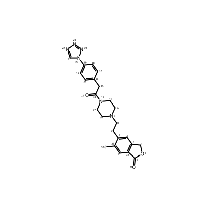 O=C1OCc2cc(CCN3CCN(C(=O)Cc4ccc(-n5cnnn5)cc4)CC3)c(I)cc21